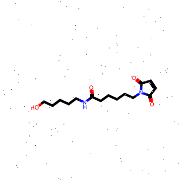 O=C(CCCCCN1C(=O)C=CC1=O)NCCCCCO